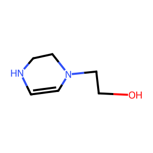 OCCN1C=CNCC1